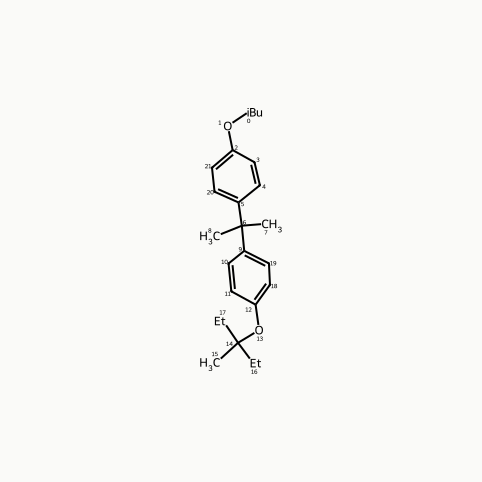 CCC(C)Oc1ccc(C(C)(C)c2ccc(OC(C)(CC)CC)cc2)cc1